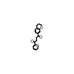 O=C(CCC(=O)c1ccccn1)c1ccc2c(c1)OCCC2